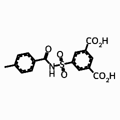 Cc1ccc(C(=O)NS(=O)(=O)c2cc(C(=O)O)cc(C(=O)O)c2)cc1